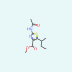 CCC(C)c1sc(NC(C)=O)nc1C(=O)OC